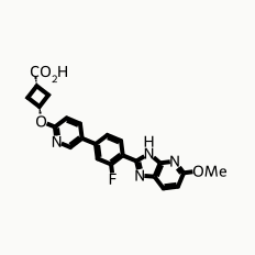 COc1ccc2nc(-c3ccc(-c4ccc(O[C@H]5C[C@@H](C(=O)O)C5)nc4)cc3F)[nH]c2n1